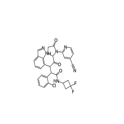 N#Cc1ccnc(N2C(=O)CCC2C(=O)C(c2cccc3cn[nH]c23)C(C(=O)NC2CC(F)(F)C2)c2ccccc2Cl)c1